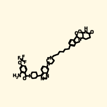 Nc1cc(OC(F)(F)F)ccc1C(=O)N1CCC(c2ncnc3cc(N4CCN(CCCCCCc5ccc6c(c5)CN(C5CCC(=O)NC5=O)C6=O)CC4)ccc23)CC1